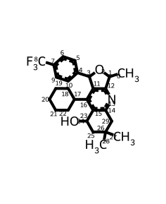 CC1OC(c2ccc(C(F)(F)F)cc2)c2c1nc1c(c2C2CCCCC2)C(O)CC(C)(C)C1